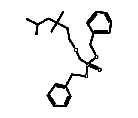 CC(C)CC(C)(C)CCOCP(=O)(OCc1ccccc1)OCc1ccccc1